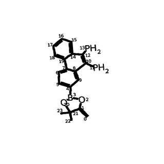 C=C1OB(c2ccc3c(c2)c(P)c(P)c2ccccc23)OC1(C)C